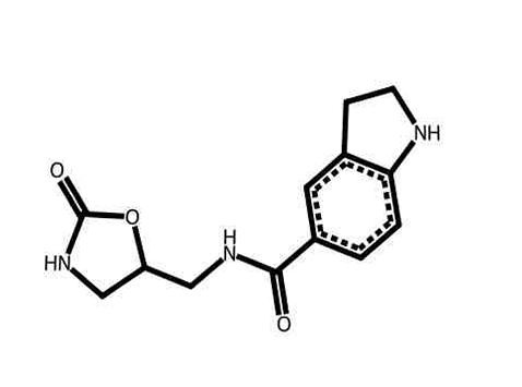 O=C1NCC(CNC(=O)c2ccc3c(c2)CCN3)O1